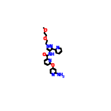 COCCOCCn1cc(NC(=O)c2cccc(Oc3ccnc(N)c3)n2)c(-c2ccccn2)n1